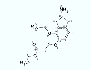 CCOC(=O)CCOc1ccc2c(c1OCC)CC(N)C2